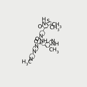 Cc1cc(C[C@@H](NC(=O)N2CCC(c3cc4c([nH]c3=O)SCC4(C)C)CC2)C(=O)N2CCN(C3CCN(C)CC3)CC2)cc2cn[nH]c12